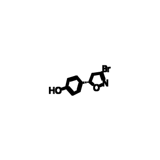 Oc1ccc([C@@H]2CC(Br)=NO2)cc1